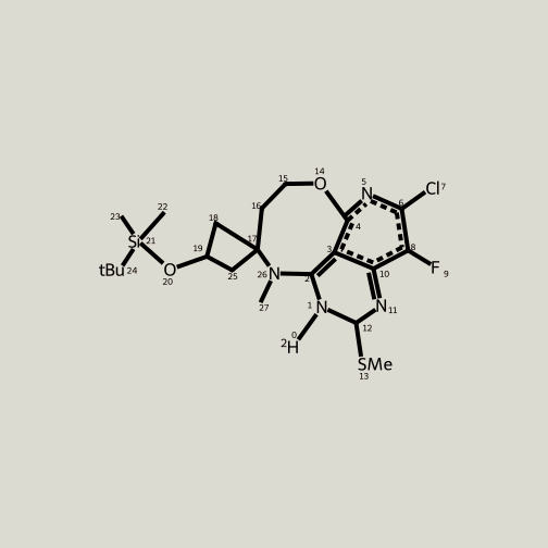 [2H]N1C2=c3c(nc(Cl)c(F)c3=NC1SC)OCCC1(CC(O[Si](C)(C)C(C)(C)C)C1)N2C